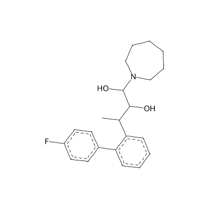 CC(c1ccccc1-c1ccc(F)cc1)C(O)C(O)N1CCCCCC1